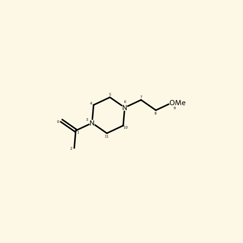 C=C(C)N1CCN(CCOC)CC1